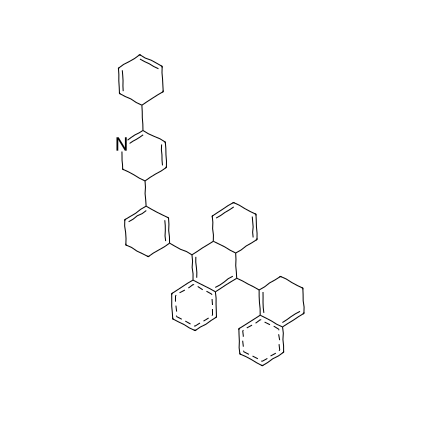 C1=CCC(C2=NCC(C3=CCCC(C4=c5ccccc5=C(C5=c6ccccc6=CCC5)C5C=CC=CC45)=C3)C=C2)C=C1